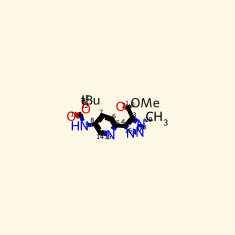 COC(=O)c1c(-c2ccc(NC(=O)OC(C)(C)C)cn2)nnn1C